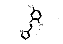 O=[N+]([O-])c1ccc(O)c(/N=C/c2ccc[nH]2)c1